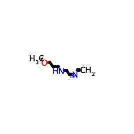 C=C/N=C\CNCCCOC